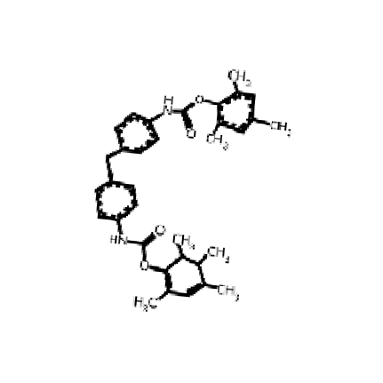 CC1=CC(C)=C(OC(=O)Nc2ccc(Cc3ccc(NC(=O)Oc4c(C)cc(C)cc4C)cc3)cc2)C(C)C1C